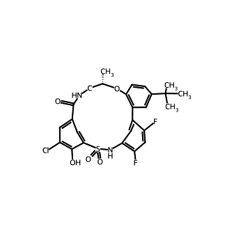 C[C@H]1CNC(=O)c2cc(Cl)c(O)c(c2)S(=O)(=O)Nc2cc(c(F)cc2F)-c2cc(C(C)(C)C)ccc2O1